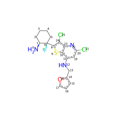 N[C@H]1CCCC[C@]1(F)c1sc2c(NCc3ccco3)cc(Cl)nc2c1Cl